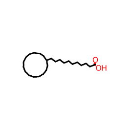 O=C(O)CCCCCCCCCCC1CCCCCCCCCCCCCC1